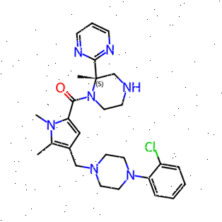 Cc1c(CN2CCN(c3ccccc3Cl)CC2)cc(C(=O)N2CCNC[C@@]2(C)c2ncccn2)n1C